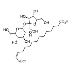 CCCCCCCC/C=C\CCCCCCCCCCCC(=O)O.OC[C@H]1O[C@@](CO)(O[C@H]2O[C@H](CO)[C@@H](O)[C@H](O)[C@H]2O)[C@@H](O)[C@@H]1O